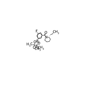 CCC[C@@H]1CCCCN1C(=O)c1cc(F)cc(B2OC(C)(C)C(C)(C)O2)c1